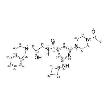 CC(=O)N1CCN(c2cc(C(=O)NCC(O)CN3CCc4ccccc4C3)cc(NC3CCC3)n2)CC1